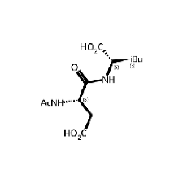 CC[C@H](C)[C@H](NC(=O)[C@H](CC(=O)O)NC(C)=O)C(=O)O